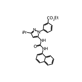 CCOC(=O)c1cccc(-n2nc(C(C)C)cc2NC(=O)Nc2cccc3ccccc23)c1